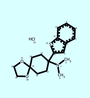 CN(C)C1(c2cc3ccccc3s2)CCC2(CC1)OCCO2.Cl